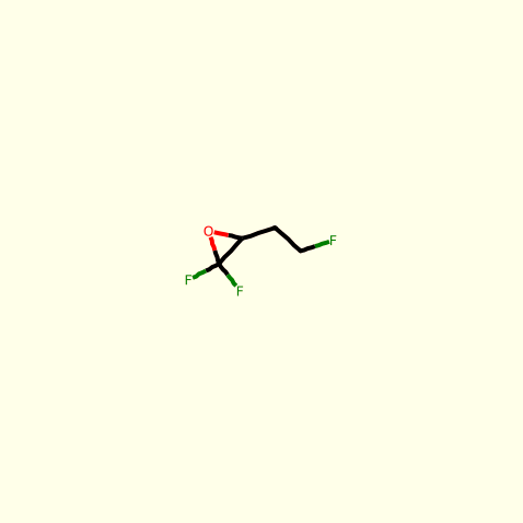 FCCC1OC1(F)F